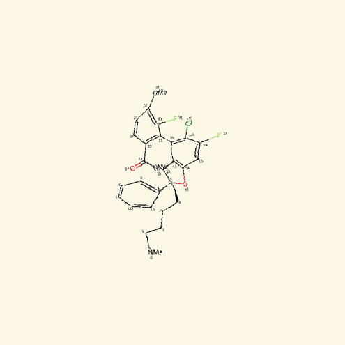 CNCCCC[C@@]1(c2ccccc2)Cc2c(cc(F)c(Cl)c2-c2c(C(=O)NC)ccc(OC)c2F)O1